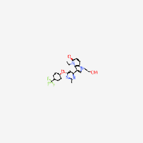 CCn1c(=O)ccc2c1c(-c1cc(OC3CCC(C(F)(F)F)CC3)nc(C)n1)cn2CCO